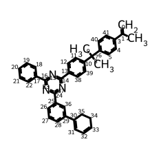 C=C(C)c1ccc(C(C)(C)c2ccc(-c3nc(-c4ccccc4)nc(-c4cccc(C5=CC=CCC5)c4)n3)cc2)cc1